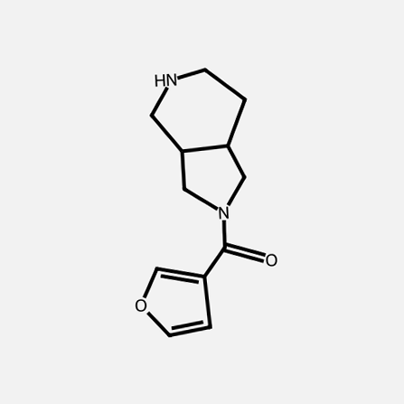 O=C(c1ccoc1)N1CC2CCNCC2C1